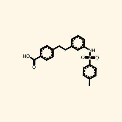 Cc1ccc(S(=O)(=O)Nc2cccc(CCc3ccc(C(=O)O)cc3)c2)cc1